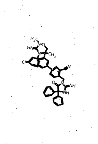 CN1OCC(C)(c2cccc(-c3ccc(CN4C(=N)NC(c5ccccc5)(c5ccccc5)C4=O)c(C#N)c3)c2)N(c2cccc(Cl)c2)C1=N